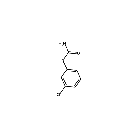 NC(=O)[N]c1cccc(Cl)c1